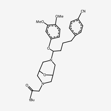 COc1ccc(OC(CCCc2ccc(C#N)cc2)N2CC3CN(CC(=O)C(C)(C)C)CC(C2)O3)cc1OC